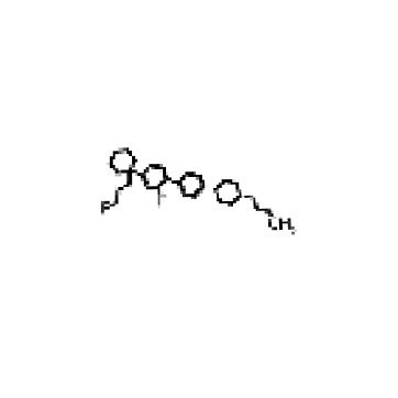 CCCC[C@H]1CC[C@H](c2ccc(-c3ccc(C4(CCCF)CCCCC4)cc3F)cc2)CC1